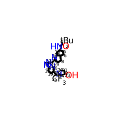 CC(C)(C)C(=O)Nc1ccc2ccc(-c3nnc4ccc([C@@H](N5CCC(O)C5)C(F)(F)F)cn34)nc2c1